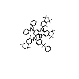 Cc1cc2c(cc1N1c3ccc(C(C)(C)c4ccccc4)cc3B3c4cc5c(cc4N(c4ccc6c(c4C)C(C)(C)CC6(C)C)c4cc(N(c6ccccc6)c6ccccc6)cc1c43)C(C)(C)CC5(C)C)C(C)(C)CCC2(C)C